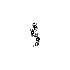 CCN1CCN(Cc2ccc3cc(C(=O)Nc4cc(NC(=O)c5cc6c(cc5F)OCCO6)ccc4F)sc3n2)CC1